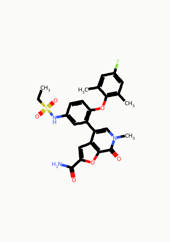 CCS(=O)(=O)Nc1ccc(Oc2c(C)cc(F)cc2C)c(-c2cn(C)c(=O)c3oc(C(N)=O)cc23)c1